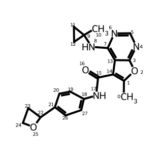 Cc1oc2ncnc(NC3(C)CC3)c2c1C(=O)Nc1ccc(C2CCO2)cc1